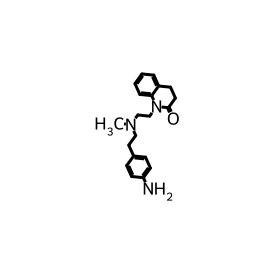 CN(CCc1ccc(N)cc1)CCN1C(=O)CCc2ccccc21